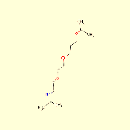 CC(C)NCCOCCOCCCOC(C)C